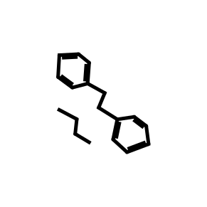 CCCC.c1ccc(CCc2ccccc2)cc1